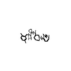 Cc1ccc(C)c(CNC(=O)N(C)C2CCCN(c3cccnn3)C2)c1